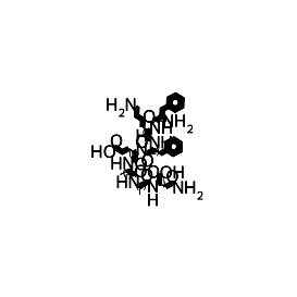 C[C@H](NC(=O)[C@H](C)NC(=O)[C@H](CCC(=O)O)NC(=O)[C@H](Cc1ccccc1)NC(=O)[C@H](CCCCN)NC(=O)[C@@H](N)Cc1ccccc1)C(=O)N[C@@H](CC(N)=O)C(=O)O